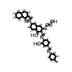 Cc1ccc(N=Nc2ccc(N=Nc3c(SOOO)cc4cc(-n5nc6ccc7ccccc7c6n5)ccc4c3O)c(O)c2)cc1